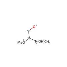 COC(C[O])N(C)O